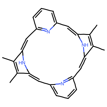 Cc1c(C)c2cc3cccc(cc4[nH]c(cc5cccc(cc1[nH]2)n5)c(C)c4C)n3